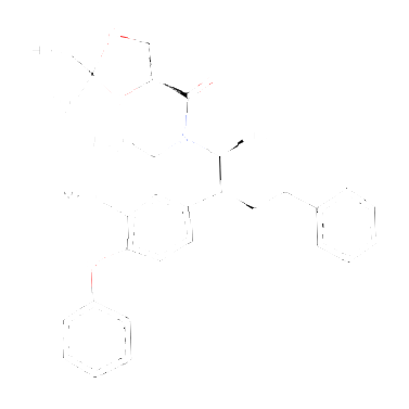 COc1cc([C@H](CCc2ccccc2)[C@H](C)N(CC(=O)O)C(=O)[C@@H]2COC(C(=O)O)(C(=O)O)O2)ccc1Oc1ccccc1